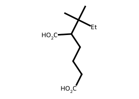 CCC(C)(C)C(CCCC(=O)O)C(=O)O